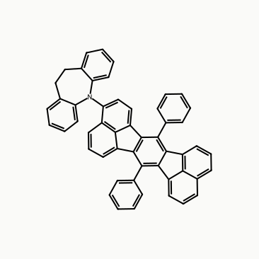 c1ccc(-c2c3c4cccc5cccc(c3c(-c3ccccc3)c3c6ccc(N7c8ccccc8CCc8ccccc87)c7cccc(c23)c76)c54)cc1